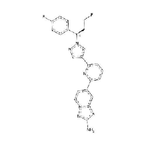 Nc1nc2cc(-c3cccc(-c4cnn([C@H](CCF)c5ccc(F)cc5)c4)n3)ccn2n1